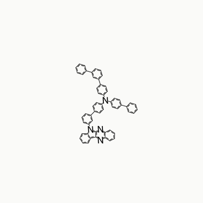 c1ccc(-c2ccc(N(c3ccc(-c4cccc(-c5ccccc5)c4)cc3)c3ccc(-c4cccc(-n5c6ccccc6c6nc7ccccc7nc65)c4)cc3)cc2)cc1